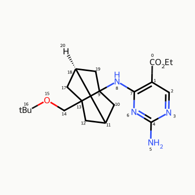 CCOC(=O)c1cnc(N)nc1NC12CC3CC1(COC(C)(C)C)C[C@H]3C2